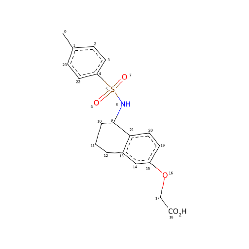 Cc1ccc(S(=O)(=O)NC2CCCc3cc(OCC(=O)O)ccc32)cc1